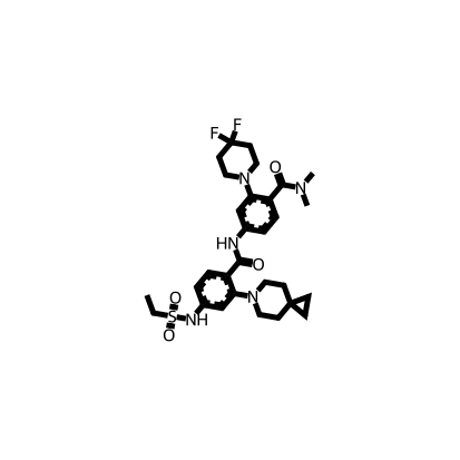 CCS(=O)(=O)Nc1ccc(C(=O)Nc2ccc(C(=O)N(C)C)c(N3CCC(F)(F)CC3)c2)c(N2CCC3(CC2)CC3)c1